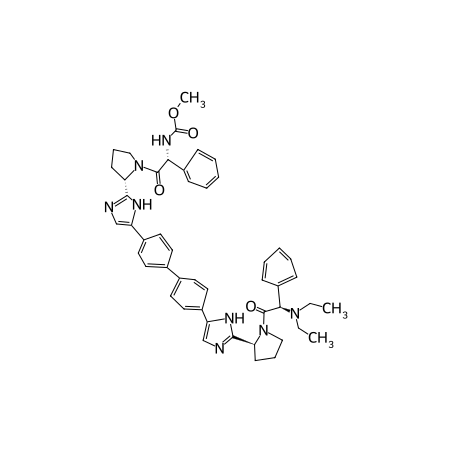 CCN(CC)[C@@H](C(=O)N1CCC[C@H]1c1ncc(-c2ccc(-c3ccc(-c4cnc([C@@H]5CCCN5C(=O)[C@H](NC(=O)OC)c5ccccc5)[nH]4)cc3)cc2)[nH]1)c1ccccc1